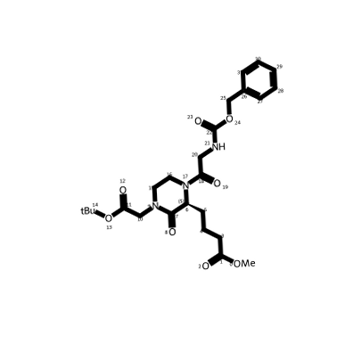 COC(=O)CCC[C@H]1C(=O)N(CC(=O)OC(C)(C)C)CCN1C(=O)CNC(=O)OCc1ccccc1